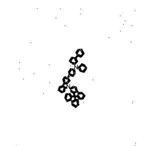 c1ccc(-c2cccc(N(c3ccccc3)c3ccc(-c4ccc5c6ccccc6n(-c6ccc7c(c6)C(c6ccccc6)(c6ccccc6)c6ccccc6-7)c5c4)cc3)c2)cc1